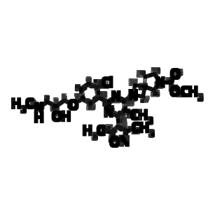 CNC[C@@H](O)COc1ccc(Cl)c(-c2nc(-c3c(C)noc3C)c(C)c(N3CC4(CCN(C(=O)OC)C4)C3)n2)c1